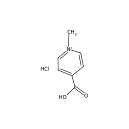 C[n+]1ccc(C(=O)O)cc1.Cl